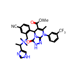 COC(=O)C1=C(C)N(c2cccc(C(F)(F)F)c2)c2n[nH]c(=O)n2C1c1ccc(C#N)cc1C[N+](C)(C)C(C)c1c[nH]cn1